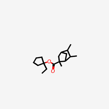 CCC1(OC(=O)C2(C)CC3CC2C(C)C3C)CCCC1